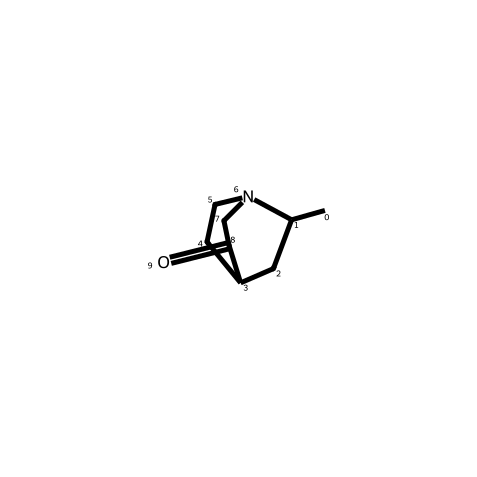 CC1CC2CCN1CC2=O